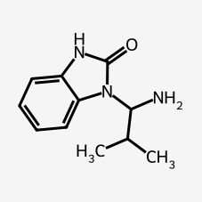 CC(C)C(N)n1c(=O)[nH]c2ccccc21